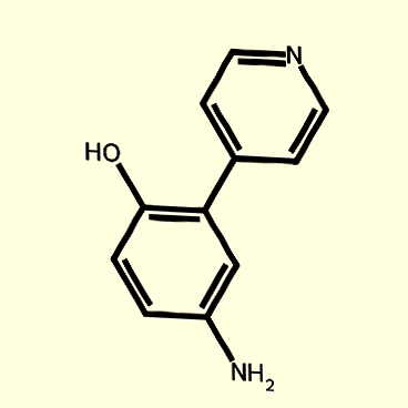 Nc1ccc(O)c(-c2ccncc2)c1